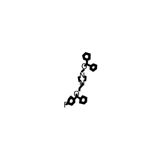 Fc1ccc(C(OCCCN2CCN(CCOC(c3ccccc3)c3ccccc3)CC2)c2ccccc2)cc1